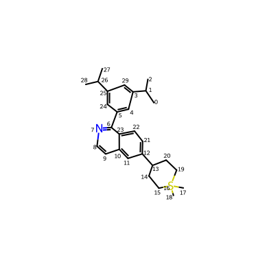 CC(C)c1cc(-c2nccc3cc(C4CCS(C)(C)CC4)ccc23)cc(C(C)C)c1